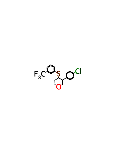 FC(F)(F)c1cccc(SC2CCOCC2c2ccc(Cl)cc2)c1